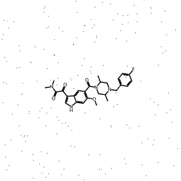 COc1cc2[nH]cc(C(=O)C(=O)N(C)C)c2cc1C(=O)N1CC(C)N(Cc2ccc(F)cc2)CC1C